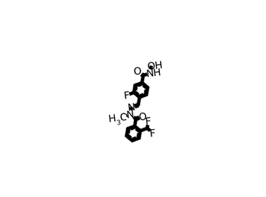 CN(/N=C/c1ccc(C(=O)NO)cc1F)C(=O)c1ccccc1C(F)F